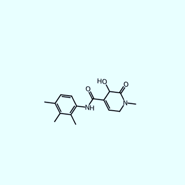 Cc1ccc(NC(=O)C2=CCN(C)C(=O)C2O)c(C)c1C